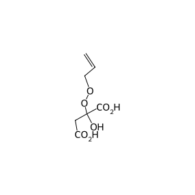 C=CCOOC(O)(CC(=O)O)C(=O)O